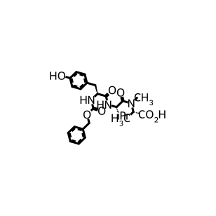 CC(C)[C@H](NC(=O)[C@H](Cc1ccc(O)cc1)NC(=O)OCc1ccccc1)C(=O)N(C)[C@@H](C)C(=O)O